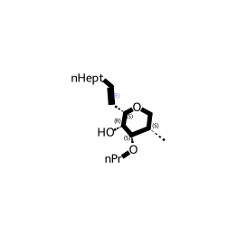 CCCCCCC/C=C/[C@@H]1OC[C@H](C)[C@H](OCCC)[C@@H]1O